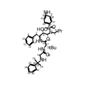 CC(C)CN(C[C@@H](O)[C@H](Cc1ccccc1)NC(=O)[C@@H](NC(=O)CNC(C)(C)c1ccccc1)C(C)(C)C)S(=O)(=O)c1ccc(N)cc1